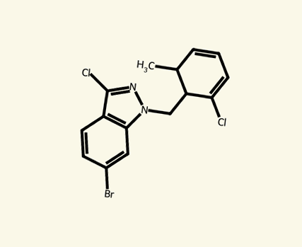 CC1C=CC=C(Cl)C1Cn1nc(Cl)c2ccc(Br)cc21